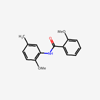 COc1ccc(C)cc1NC(=O)c1ccccc1OC